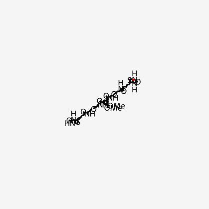 COC(OC)c1cc(C(=O)NCCCOCCCNC(=O)CCCCC2SCC3NC(=O)NC32)cc(C(=O)NCCOCCCNC(=O)CCCCC2SCC3NC(=O)NC32)c1